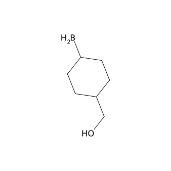 BC1CCC(CO)CC1